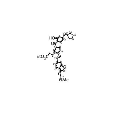 CCOC(=O)CCc1cc(C(=O)c2ccc(OC3CCCC3)cc2O)ccc1OCc1ccc2c(OCOC)noc2c1